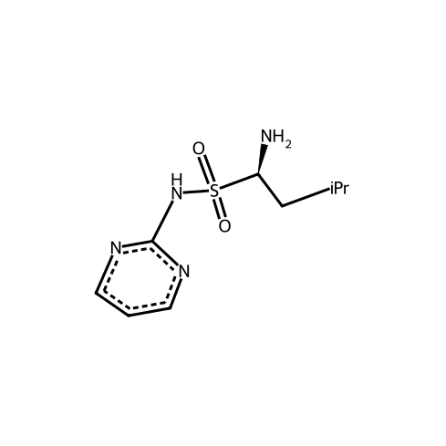 CC(C)C[C@H](N)S(=O)(=O)Nc1ncccn1